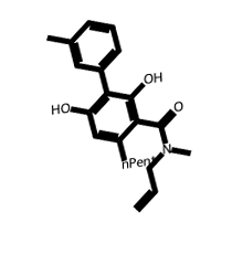 C=CCN(C)C(=O)c1c(CCCCC)cc(O)c(-c2cccc(C)c2)c1O